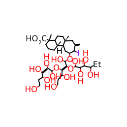 C=C1C[C@@]2(C)CCC3[C@](C)(C(=O)O)CCC[C@@]3(C)[C@@H]2CC(OC(O)/C(OC(O)C(O)C(O)C(O)CC)=C(\OC(O)/C(O)=C(/O)C(O)CCO)C(O)CCO)C1I